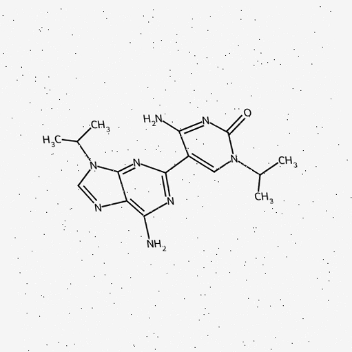 CC(C)n1cc(-c2nc(N)c3ncn(C(C)C)c3n2)c(N)nc1=O